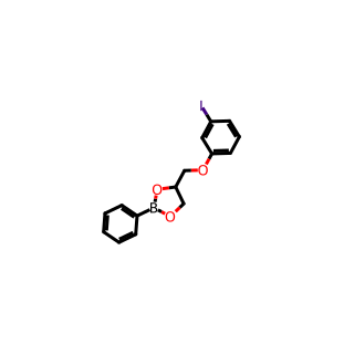 Ic1cccc(OCC2COB(c3ccccc3)O2)c1